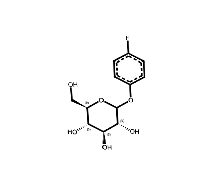 OC[C@H]1OC(Oc2ccc(F)cc2)[C@H](O)[C@@H](O)[C@@H]1O